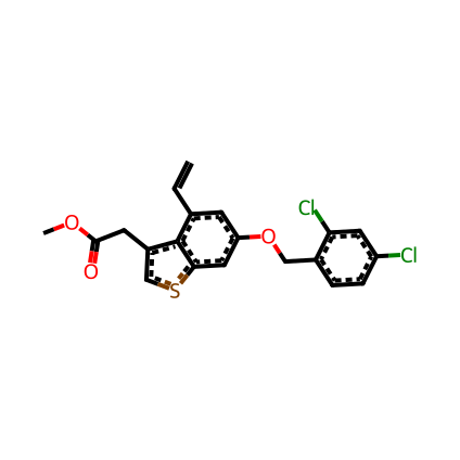 C=Cc1cc(OCc2ccc(Cl)cc2Cl)cc2scc(CC(=O)OC)c12